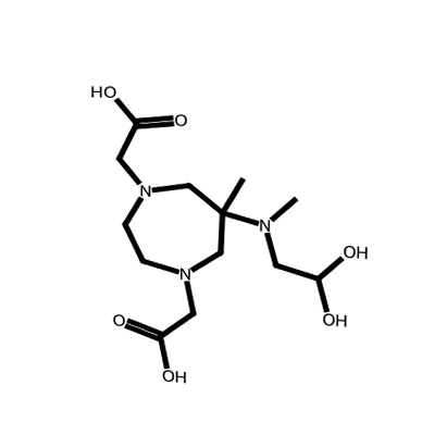 CN(CC(O)O)C1(C)CN(CC(=O)O)CCN(CC(=O)O)C1